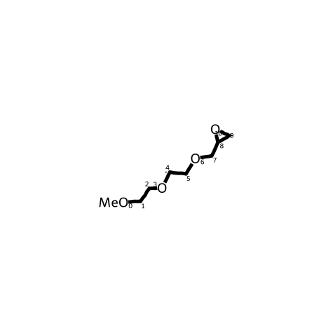 COCCO[CH]COCC1CO1